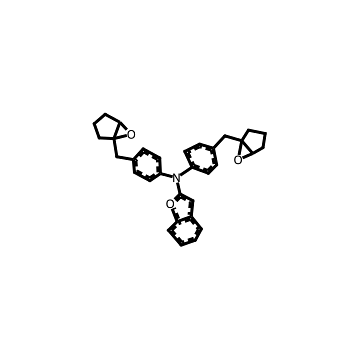 c1ccc2oc(N(c3ccc(CC45CCCC4O5)cc3)c3ccc(CC45CCCC4O5)cc3)cc2c1